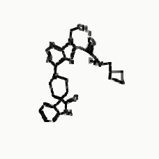 CCn1c(C(=O)NCC2CCC2)nc2c(N3CCC4(CC3)C(=O)Nc3ccccc34)ncnc21